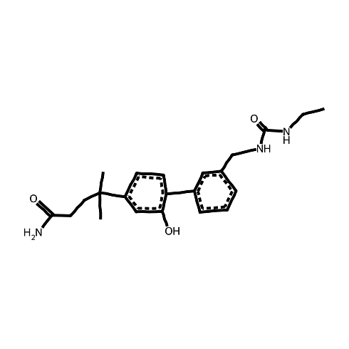 CCNC(=O)NCc1cccc(-c2ccc(C(C)(C)CCC(N)=O)cc2O)c1